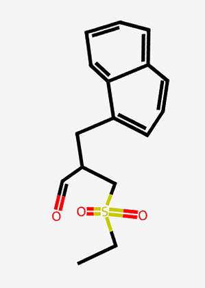 CCS(=O)(=O)CC(C=O)Cc1cccc2ccccc12